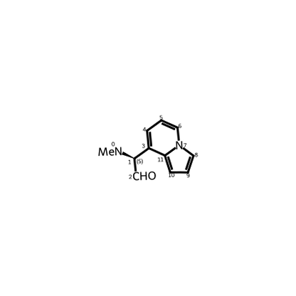 CN[C@H](C=O)c1cccn2cccc12